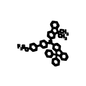 CC1(C)c2ccccc2-c2ccc(N(c3ccc(-c4ccc(OC(F)(F)F)cc4)cc3)c3ccc4c(c3)C(c3ccccc3)(c3ccccc3)c3ccccc3-4)cc21